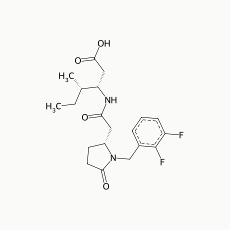 CC[C@H](C)[C@H](CC(=O)O)NC(=O)C[C@H]1CCC(=O)N1Cc1cccc(F)c1F